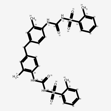 Cc1cc(Cc2ccc(NC(=O)NS(=O)(=O)c3ccccc3C)c(C)c2)ccc1NC(=O)NS(=O)(=O)c1ccccc1C